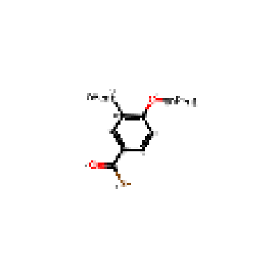 CCCCCOc1ccc(C(=O)S)cc1CCCCC